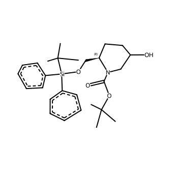 CC(C)(C)OC(=O)N1CC(O)CC[C@@H]1CO[Si](c1ccccc1)(c1ccccc1)C(C)(C)C